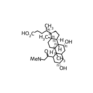 CNCC(=O)C1C[C@@H](O)CC2C[C@@H](O)[C@@H]3[C@H](CC[C@]4(C)[C@@H]([C@H](C)CCC(=O)O)CC[C@@H]34)[C@]21C